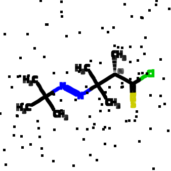 C[C@H](C(=S)Cl)C(C)(C)N=NC(C)(C)C